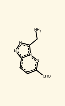 NCc1nnc2ccc(C=O)nn12